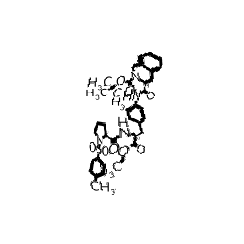 CCOC(=O)[C@H](Cc1ccc(NC(=O)[C@@H]2Cc3ccccc3CN2C(=O)OC(C)(C)C)cc1)NC(=O)[C@@H]1CCCN1S(=O)(=O)c1ccc(C)cc1